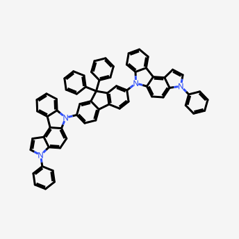 c1ccc(-n2ccc3c4c5ccccc5n(-c5ccc6c(c5)C(c5ccccc5)(c5ccccc5)c5cc(-n7c8ccccc8c8c9ccn(-c%10ccccc%10)c9ccc87)ccc5-6)c4ccc32)cc1